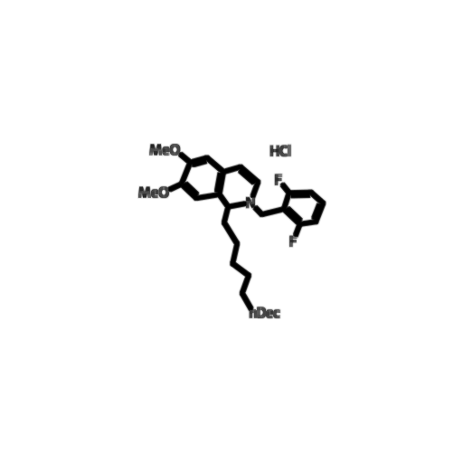 CCCCCCCCCCCCCCCC1c2cc(OC)c(OC)cc2C=CN1Cc1c(F)cccc1F.Cl